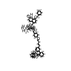 CC(C)(C)[Si](C)(C)O[C@@H](CNCCc1ccc(OCCC=Cc2ccc(N(C(=O)O)[C@H]3CN4CCC3CC4)c(-c3ccccc3)c2)cc1)c1ccc(OCc2ccccc2)c2[nH]c(=O)ccc12